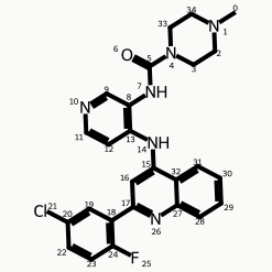 CN1CCN(C(=O)Nc2cnccc2Nc2cc(-c3cc(Cl)ccc3F)nc3ccccc23)CC1